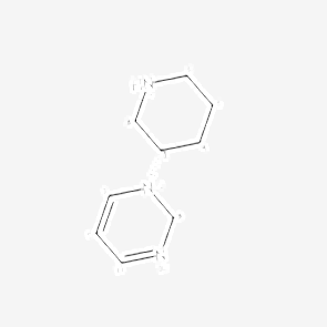 C1=CN([C@H]2CCCNC2)CN=C1